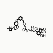 CN(CCNC[C@H](O)c1ccc(O)c2[nH]c(=O)ccc12)C(=O)CCOCCc1cccc(CN2CCC3(CC2)CN(c2ccn(C)n2)CCO3)c1